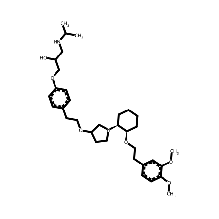 COc1ccc(CCO[C@@H]2CCCC[C@@H]2N2CCC(OCCc3ccc(OCC(O)CNC(C)C)cc3)C2)cc1OC